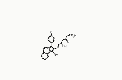 CC(C)c1c(C=CC(O)CC(=O)CC(=O)O)c(-c2ccc(F)cc2)n2ccc3ccccc3c12